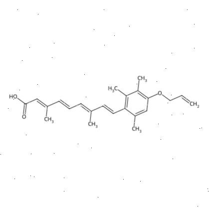 C=CCOc1cc(C)c(/C=C/C(C)=C/C=C/C(C)=C/C(=O)O)c(C)c1C